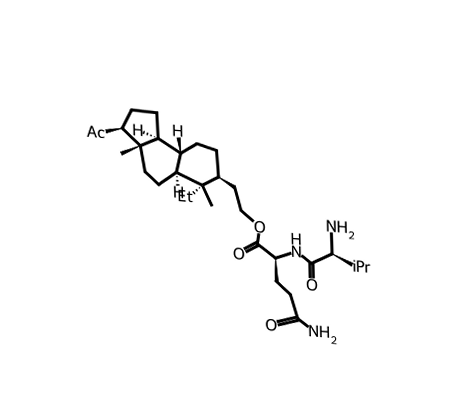 CC[C@@]1(C)[C@H](CCOC(=O)[C@H](CCC(N)=O)NC(=O)[C@@H](N)C(C)C)CC[C@@H]2[C@@H]1CC[C@]1(C)[C@@H](C(C)=O)CC[C@@H]21